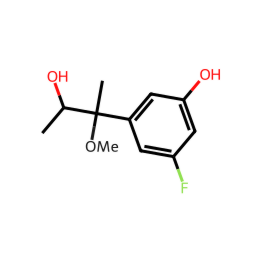 COC(C)(c1cc(O)cc(F)c1)C(C)O